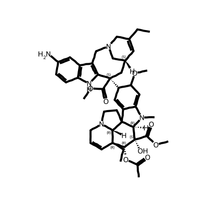 CCC1=C[C@H]2CN(C1)Cc1c([nH]c3ccc(N)cc13)[C@@](C(=O)OC)(C1C=C3C(=CC1OC)N(C)[C@@H]1C34CCN3CC=C[C@](CC)([C@H]34)[C@@H](OC(C)=O)[C@]1(O)C(=O)OC)C2